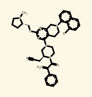 C=C(C(=O)N1CCN(c2nc(OC[C@@H]3CCCN3C)nc3c2CCN(c2cccc4cccc(Cl)c24)C3)C[C@@H]1CC#N)c1ccccc1